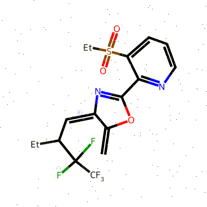 C=c1oc(-c2ncccc2S(=O)(=O)CC)n/c1=C/C(CC)C(F)(F)C(F)(F)F